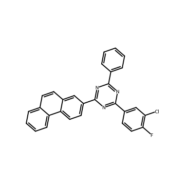 Fc1ccc(-c2nc(-c3ccccc3)nc(-c3ccc4c(ccc5ccccc54)c3)n2)cc1Cl